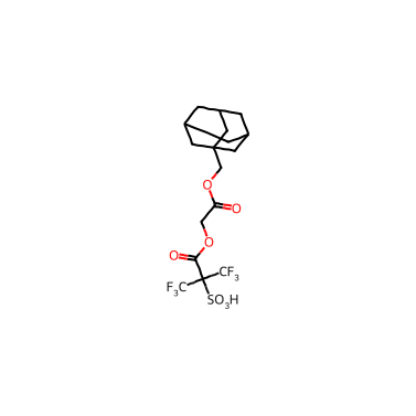 O=C(COC(=O)C(C(F)(F)F)(C(F)(F)F)S(=O)(=O)O)OCC12CC3CC(CC(C3)C1)C2